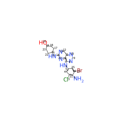 Nc1c(Cl)cc(Nc2ncnc3cnc(N[C@H]4CC[C@H](O)CC4)nc23)cc1Br